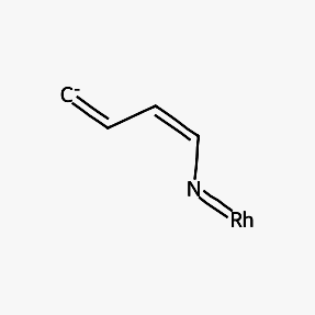 [CH-]=C/C=C\[N]=[Rh]